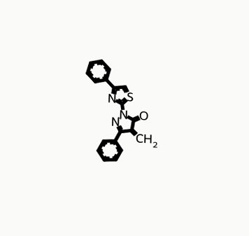 C=C1C(=O)N(c2nc(-c3ccccc3)cs2)N=C1c1ccccc1